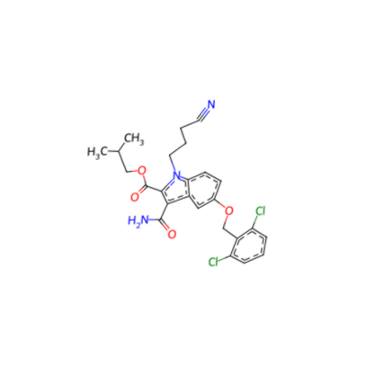 CC(C)COC(=O)c1c(C(N)=O)c2cc(OCc3c(Cl)cccc3Cl)ccc2n1CCCC#N